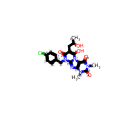 CC(O)Cc1c(O)n2c3c(=O)n(C)c(=O)n(C)c3nc2n(Cc2ccc(Cl)cc2)c1=O